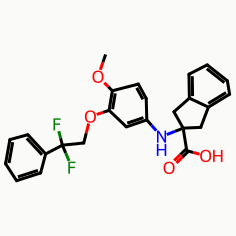 COc1ccc(NC2(C(=O)O)Cc3ccccc3C2)cc1OCC(F)(F)c1ccccc1